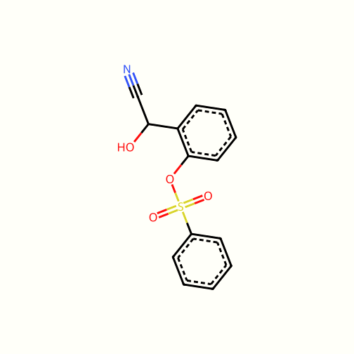 N#CC(O)c1ccccc1OS(=O)(=O)c1ccccc1